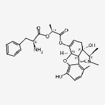 Cc1ccc(O)c2c1[C@]13CCN(C)[C@H](C)[C@]1(O)CC=C(OC(=O)[C@H](C)OC(=O)[C@@H](N)Cc1ccccc1)[C@@H]3O2